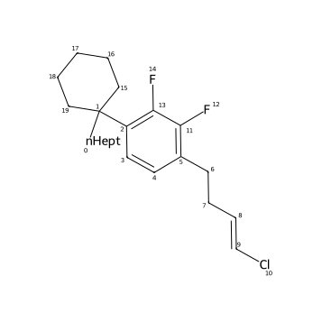 CCCCCCCC1(c2ccc(CC/C=C/Cl)c(F)c2F)CCCCC1